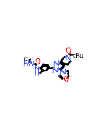 CCNC(=O)Nc1ccc(-c2nc3c(c(N4CCOCC4)n2)CCN(C(=O)C(C)(C)C)C3)cc1C